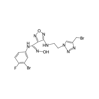 ON=C(Nc1ccc(F)c(Br)c1)c1nonc1NCCn1cc(CBr)nn1